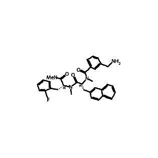 CNC(=O)[C@@H](Cc1ccccc1F)N(C)C(=O)[C@@H](Cc1ccc2ccccc2c1)N(C)C(=O)c1cccc(CN)c1